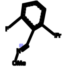 CO/N=C/c1c(F)cccc1C(C)C